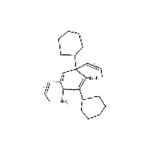 C/C=C\C1=CC(/C=C\C)(C2CCCCC2)C(N)=C(C2CCCCC2)C1N